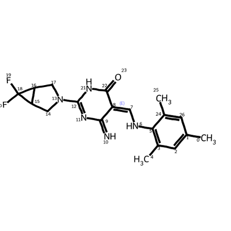 Cc1cc(C)c(N/C=C2\C(=N)N=C(N3CC4C(C3)C4(F)F)NC2=O)c(C)c1